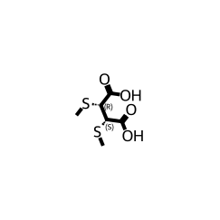 CS[C@H](C(=O)O)[C@@H](SC)C(=O)O